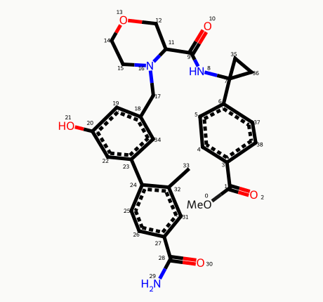 COC(=O)c1ccc(C2(NC(=O)C3COCCN3Cc3cc(O)cc(-c4ccc(C(N)=O)cc4C)c3)CC2)cc1